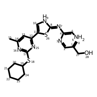 C=C(\C=N/C(=C\N)/N=c1/[nH]cc(-c2cc(C)nc(SC3CCCCC3)n2)s1)CO